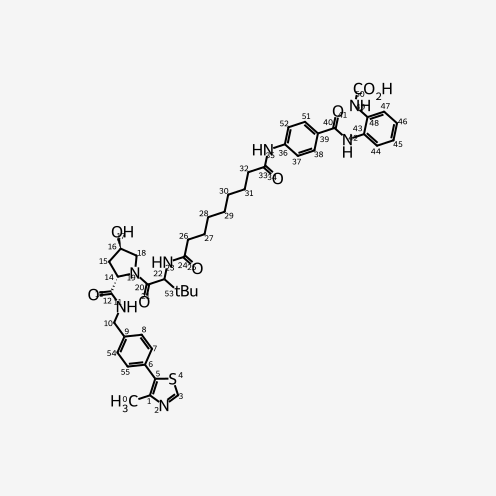 Cc1ncsc1-c1ccc(CNC(=O)[C@@H]2C[C@@H](O)CN2C(=O)C(NC(=O)CCCCCCCC(=O)Nc2ccc(C(=O)Nc3ccccc3NC(=O)O)cc2)C(C)(C)C)cc1